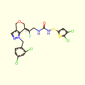 O=C(NC/C(F)=C1\COCc2cnn(Cc3ccc(Cl)cc3Cl)c21)NSc1cc(Cl)c(Cl)s1